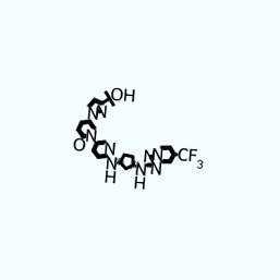 CC(C)(O)c1ccn(-c2ccc(=O)n(-c3ccc(N[C@H]4CC[C@H](Nc5nc6cc(C(F)(F)F)ccn6n5)C4)nc3)c2)n1